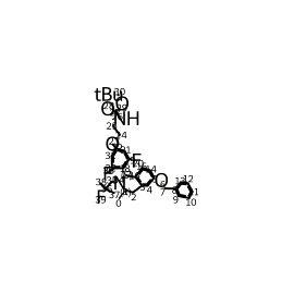 C[C@@H]1Cc2cc(OCc3ccccc3)ccc2[C@@H](c2c(F)cc(OCCNC(=O)OC(C)(C)C)cc2F)N1CC(C)(C)F